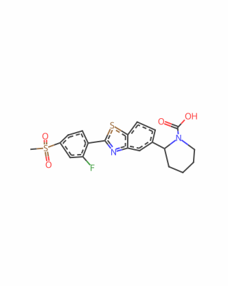 CS(=O)(=O)c1ccc(-c2nc3cc(C4CCCCN4C(=O)O)ccc3s2)c(F)c1